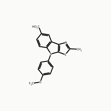 Cc1nc2c3cc(C(=O)O)ccc3n(-c3ccc(OC(F)(F)F)cc3)c2s1